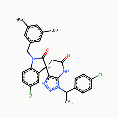 CC(c1ccc(Cl)cc1)n1nnc2c1NC(=O)C[C@]21C(=O)N(Cc2cc(C(C)(C)C)cc(C(C)(C)C)c2)c2ccc(Cl)cc21